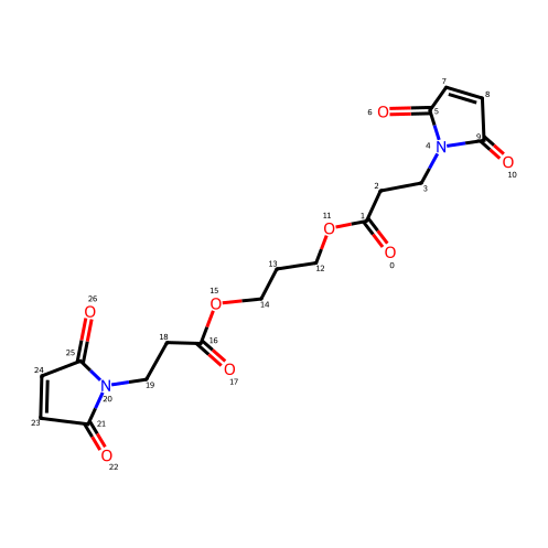 O=C(CCN1C(=O)C=CC1=O)OCCCOC(=O)CCN1C(=O)C=CC1=O